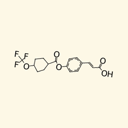 O=C(O)C=Cc1ccc(OC(=O)C2CCC(OC(F)(F)F)CC2)cc1